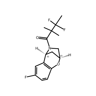 CC(F)(F)C(C)(C)C(=O)N1C[C@@H]2C[C@H]1c1cc(F)ccc1O2